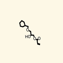 C=CC(=O)OCC(O)COCC1CCCCC1